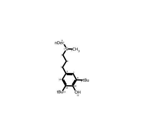 CCCCCCCCCC[Si](C)CCCc1cc(C(C)(C)C)c(O)c(C(C)(C)C)c1